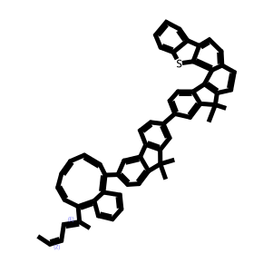 C/C=C\C=C(/C)c1ccccccc(-c2ccc3c(c2)-c2ccc(-c4ccc5c(c4)C(C)(C)c4ccc6ccc7c8ccccc8sc7c6c4-5)cc2C3(C)C)c2ccccc12